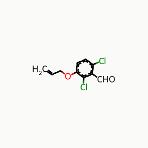 C=CCOc1ccc(Cl)c(C=O)c1Cl